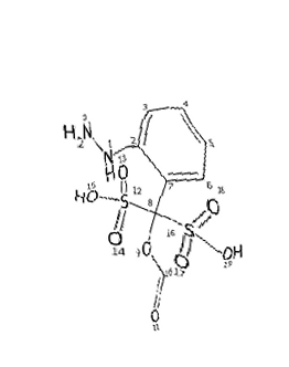 NNc1ccccc1C(OC=O)(S(=O)(=O)O)S(=O)(=O)O